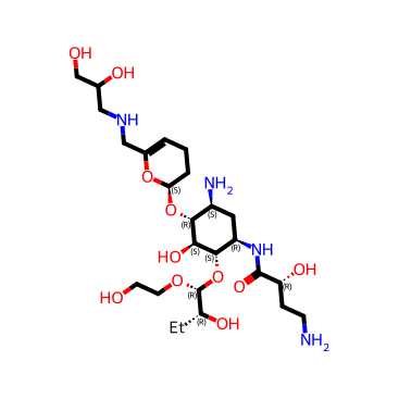 CC[C@@H](O)[C@H](OCCO)O[C@@H]1[C@@H](O)[C@H](O[C@@H]2CCC=C(CNCC(O)CO)O2)[C@@H](N)C[C@H]1NC(=O)[C@H](O)CCN